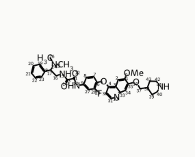 COc1cc2c(Oc3ccc(NC(=O)C(=O)NCC(c4ccccc4)N(C)C)cc3F)ccnc2cc1OCC1CCNCC1